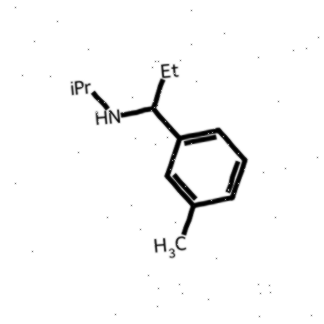 CCC(NC(C)C)c1cccc(C)c1